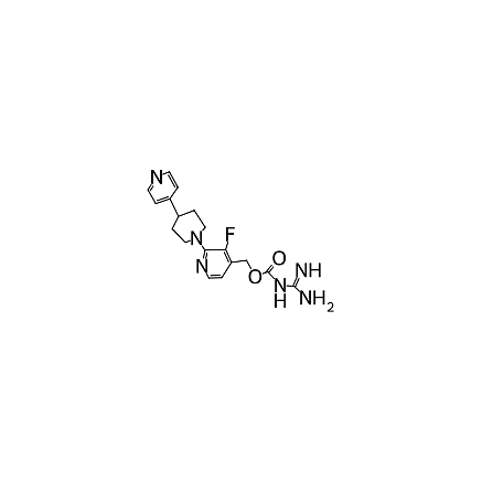 N=C(N)NC(=O)OCc1ccnc(N2CCC(c3ccncc3)CC2)c1F